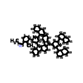 C/C=C\c1cccc(-c2cc(-n3c4ccccc4c4ccc5c(c6ccccc6n5-c5cc(C6=CC=CC7C=CC=CC67)nc(-c6cccc7ccccc67)c5)c43)cc(-c3cccc4ccccc34)n2)c1C